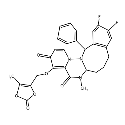 Cc1oc(=O)oc1COc1c2n(ccc1=O)N1C(c3ccccc3)c3cc(F)c(F)cc3CCCC1N(C)C2=O